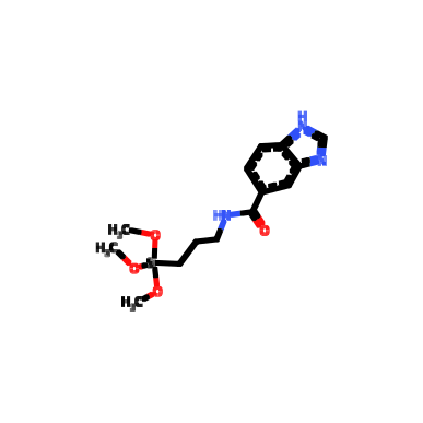 CO[Si](CCCNC(=O)c1ccc2[nH]cnc2c1)(OC)OC